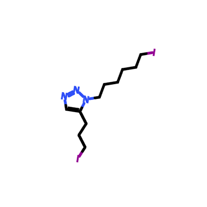 ICCCCCCn1nncc1CCCI